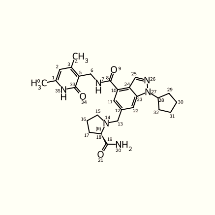 Cc1cc(C)c(CNC(=O)c2cc(CN3CCC[C@@H]3C(N)=O)cc3c2cnn3C2CCCC2)c(=O)[nH]1